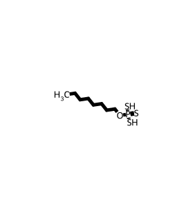 CCCCCCCCOP(=S)(S)S